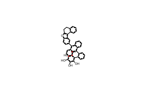 Oc1c(O)c(O)c(-c2ccccc2-c2c3ccccc3c(-c3ccc4oc5c(c4c3)-c3ccccc3CC5)c3ccccc23)c(O)c1O